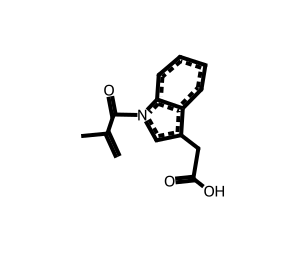 C=C(C)C(=O)n1cc(CC(=O)O)c2ccccc21